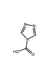 O=C(O)n1cnnc1